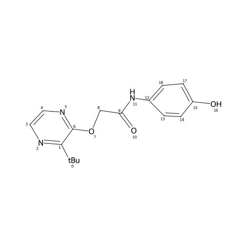 CC(C)(C)c1nccnc1OCC(=O)Nc1ccc(O)cc1